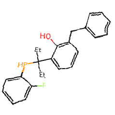 CCC(CC)(Pc1ccccc1F)c1cccc(Cc2ccccc2)c1O